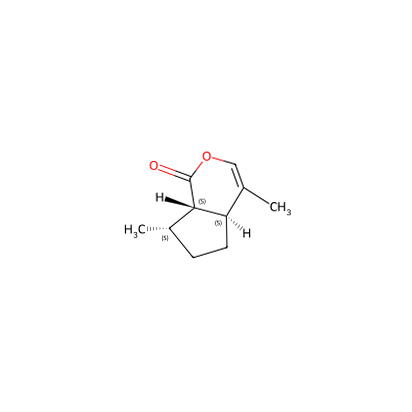 CC1=COC(=O)[C@@H]2[C@@H]1CC[C@@H]2C